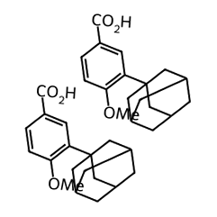 COc1ccc(C(=O)O)cc1C12CC3CC(CC(C3)C1)C2.COc1ccc(C(=O)O)cc1C12CC3CC(CC(C3)C1)C2